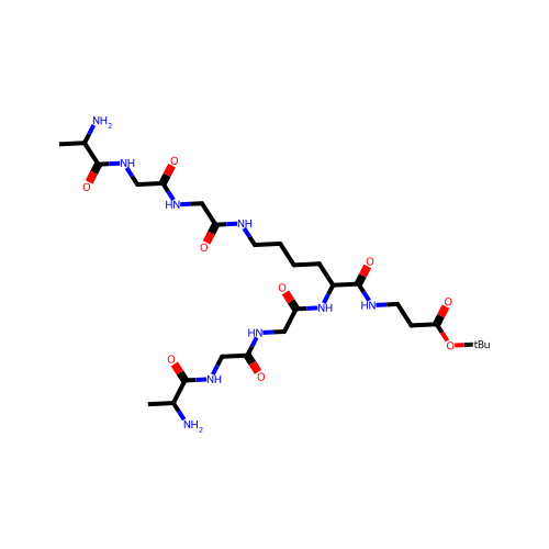 CC(N)C(=O)NCC(=O)NCC(=O)NCCCCC(NC(=O)CNC(=O)CNC(=O)C(C)N)C(=O)NCCC(=O)OC(C)(C)C